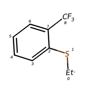 C[CH]Sc1ccccc1C(F)(F)F